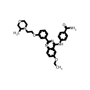 CCOc1ccc2nc(-c3cccc(OCCN4CCOCC4C)c3)nc(Nc3ccc(C(N)=O)cc3)c2c1